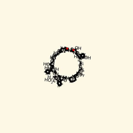 CC(C)C[C@@H]1NC(=O)C2CCCCCCC(NC(=O)[C@H](Cc3cn(CC(=O)O)c4ccccc34)NC(=O)[C@H](CCN)NC(=O)[C@H](Cc3c[nH]c4ccccc34)NC(=O)[C@@H]3C[C@@H](O)CN3C(=O)[C@H](CC(C)C)NC(=O)CNC(=O)[C@H]3CCC4CC[C@@H](NC(=O)[C@@H]5C[C@H](O)CN5C(=O)[C@H](Cc5ccc(O)cc5)NC(=O)CSCCN(C)C1=O)C(=O)N43)C(=O)N2C